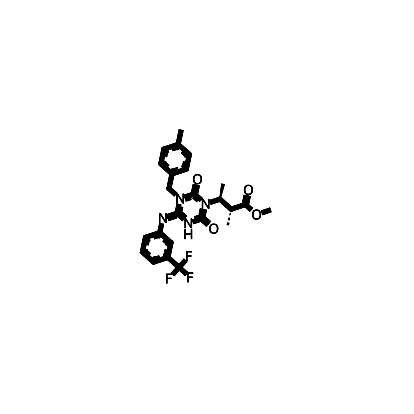 COC(=O)[C@H](C)[C@H](C)n1c(=O)[nH]/c(=N\c2cccc(C(F)(F)F)c2)n(Cc2ccc(C)cc2)c1=O